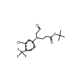 CC(C)(C)OC(=O)CCN(CC=O)c1ccc(C(F)(F)F)c(Cl)c1